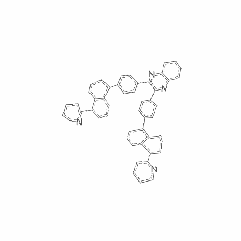 c1ccc(-c2cccc3c(-c4ccc(-c5nc6ccccc6nc5-c5ccc(-c6cccc7c(-c8ccccn8)cccc67)cc5)cc4)cccc23)nc1